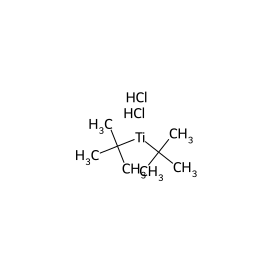 C[C](C)(C)[Ti][C](C)(C)C.Cl.Cl